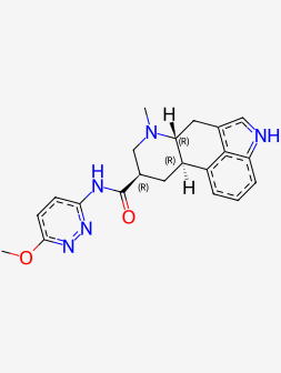 COc1ccc(NC(=O)[C@@H]2C[C@@H]3c4cccc5[nH]cc(c45)C[C@H]3N(C)C2)nn1